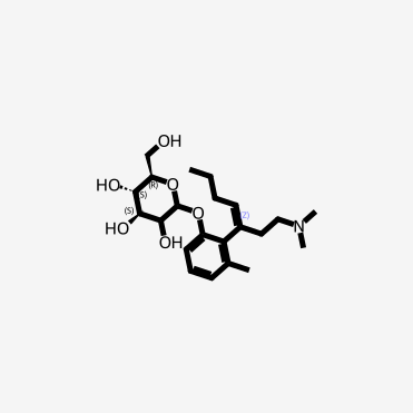 CCC/C=C(/CCN(C)C)c1c(C)cccc1OC1O[C@H](CO)[C@@H](O)[C@H](O)C1O